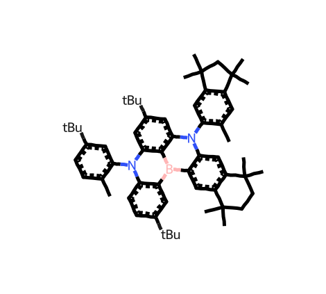 Cc1ccc(C(C)(C)C)cc1N1c2ccc(C(C)(C)C)cc2B2c3cc4c(cc3N(c3cc5c(cc3C)C(C)(C)CC5(C)C)c3cc(C(C)(C)C)cc1c32)C(C)(C)CCC4(C)C